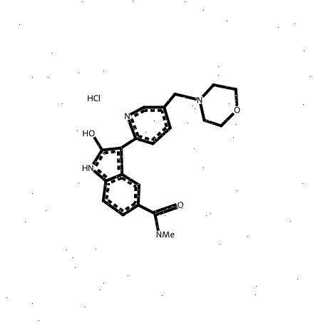 CNC(=O)c1ccc2[nH]c(O)c(-c3ccc(CN4CCOCC4)cn3)c2c1.Cl